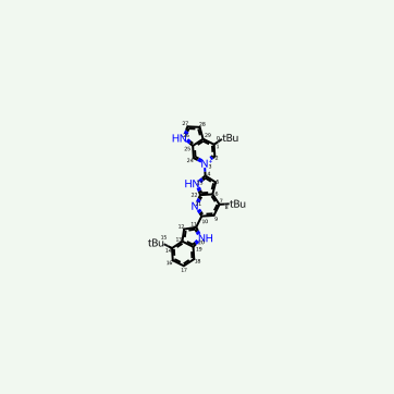 CC(C)(C)c1c[n+](-c2cc3c(C(C)(C)C)cc(-c4cc5c(C(C)(C)C)cccc5[nH]4)nc3[nH]2)cc2[nH]ccc12